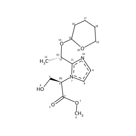 COC(=O)[C@@H](CO)n1ccnc1[C@H](C)OC1CCCCO1